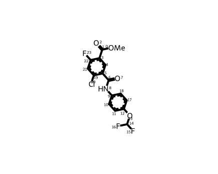 COC(=O)c1cc(C(=O)Nc2ccc(OC(F)F)cc2)c(Cl)cc1F